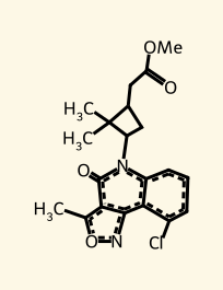 COC(=O)CC1CC(n2c(=O)c3c(C)onc3c3c(Cl)cccc32)C1(C)C